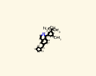 Cc1cc(-c2nccc3cc(CC4CCCC4)ccc23)cc(C(C)(C)C)c1